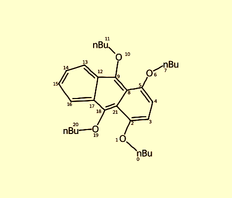 CCCCOc1ccc(OCCCC)c2c(OCCCC)c3ccccc3c(OCCCC)c12